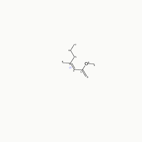 C=C(/C=C(/C)CCC)OC